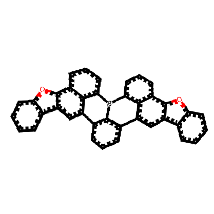 c1cc2c3c(c1)-c1cc4c5ccccc5oc4c4cccc(c14)B3c1cccc3c1c-2cc1c2ccccc2oc31